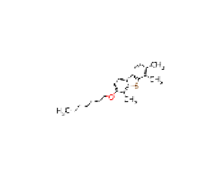 CCCCCCCOc1ccc2c(sc3c(C)c(C)ccc32)c1C